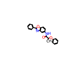 CC(Oc1ccccc1)C(=O)Nc1ccc2oc(-c3ccccc3)nc2c1